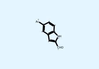 CC(=O)c1ccc2[nH]c(C=O)cc2c1